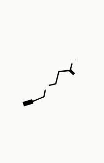 C#CCSCCC(=O)O